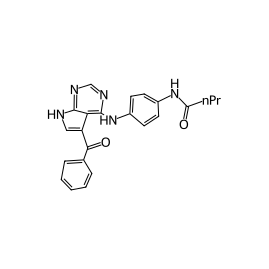 CCCC(=O)Nc1ccc(Nc2ncnc3[nH]cc(C(=O)c4ccccc4)c23)cc1